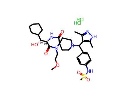 COCCN1C(=O)[C@@H]([C@H](O)C2CCCCC2)NC(=O)C12CCN(C(c1ccc(NS(C)(=O)=O)cc1)c1c(C)n[nH]c1C)CC2.Cl.Cl